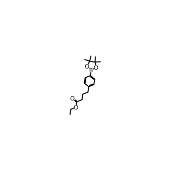 CCOC(=O)CCCc1ccc(B2OC(C)(C)C(C)(C)O2)cc1